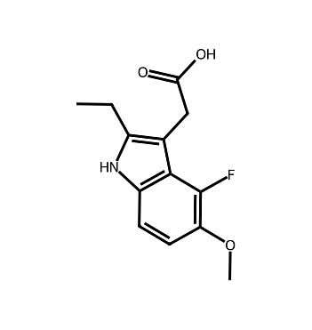 CCc1[nH]c2ccc(OC)c(F)c2c1CC(=O)O